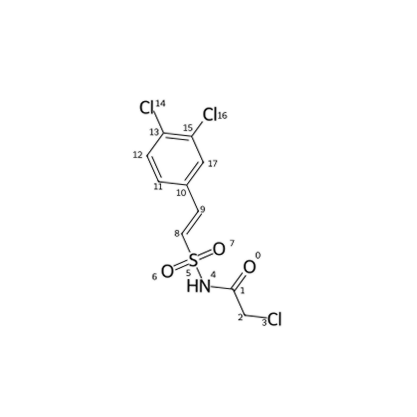 O=C(CCl)NS(=O)(=O)/C=C/c1ccc(Cl)c(Cl)c1